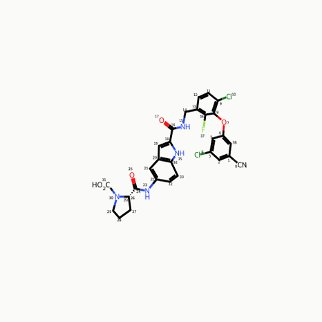 N#Cc1cc(Cl)cc(Oc2c(Cl)ccc(CNC(=O)c3cc4cc(NC(=O)[C@@H]5CCCN5C(=O)O)ccc4[nH]3)c2F)c1